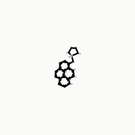 c1cc2ccc3ccc(CN4CCCC4)c4ccc(c1)c2c34